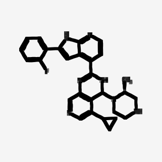 C[C@H]1CNCCN1C1NC(c2ccnc3[nH]c(-c4ccccc4F)cc23)=Nc2cncc(C3CC3)c21